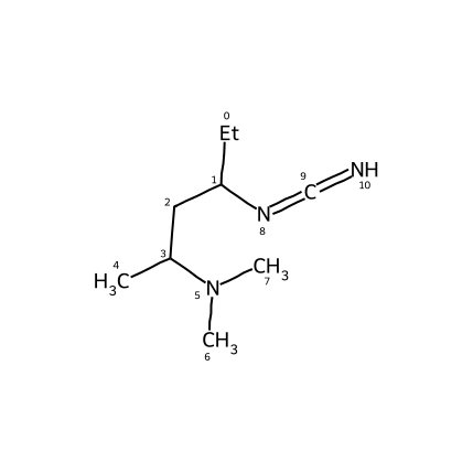 CCC(CC(C)N(C)C)N=C=N